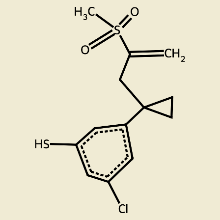 C=C(CC1(c2cc(S)cc(Cl)c2)CC1)S(C)(=O)=O